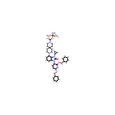 CC(C)(C)OC(=O)N1CCC2(CC1)CCN(c1cccc3c1n(C1CC1)c(=O)n3-c1ccc(OCc3ccccc3)nc1OCc1ccccc1)CC2